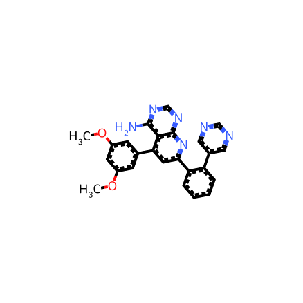 COc1cc(OC)cc(-c2cc(-c3ccccc3-c3cncnc3)nc3ncnc(N)c23)c1